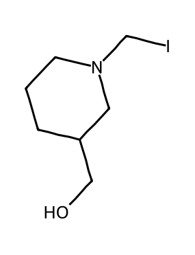 OCC1CCCN(CI)C1